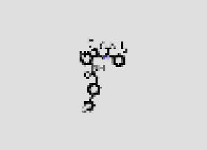 NC(=O)/C(=C\c1c[nH]c2nccc(NC(=O)Cc3ccc(-c4ccsc4)cc3)c12)c1ccccc1